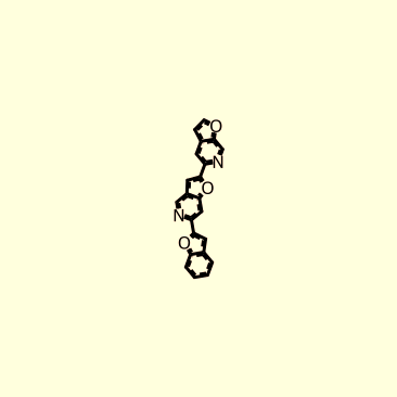 c1ccc2oc(-c3cc4oc(-c5cc6ccoc6cn5)cc4cn3)cc2c1